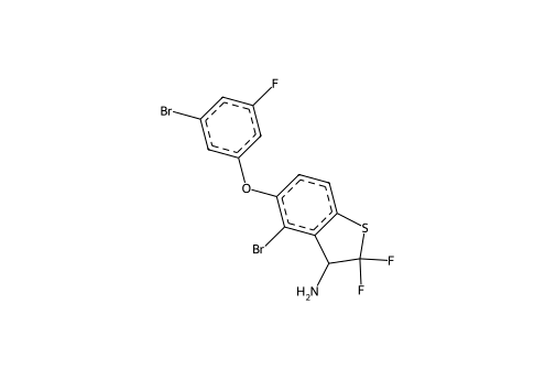 NC1c2c(ccc(Oc3cc(F)cc(Br)c3)c2Br)SC1(F)F